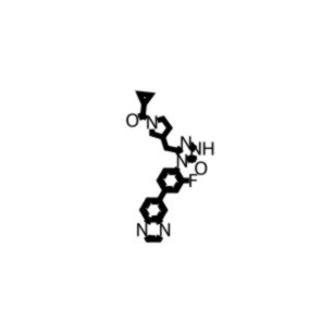 O=C(C1CC1)N1CCC(Cc2n[nH]c(=O)n2-c2ccc(-c3ccc4nccnc4c3)cc2F)C1